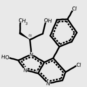 CC[C@@H](CO)n1c(O)nc2ncc(Cl)c(-c3ccc(Cl)cc3)c21